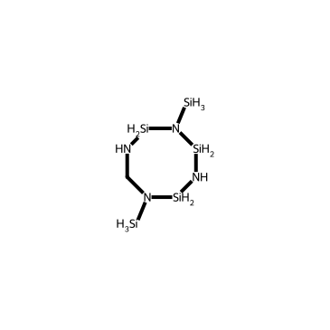 [SiH3]N1CN[SiH2]N([SiH3])[SiH2]N[SiH2]1